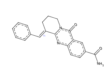 NC(=O)c1ccc2nc3n(c(=O)c2c1)CCC/C3=C\c1ccccc1